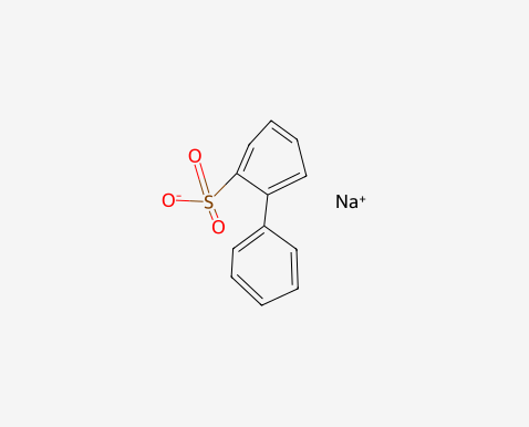 O=S(=O)([O-])c1ccccc1-c1ccccc1.[Na+]